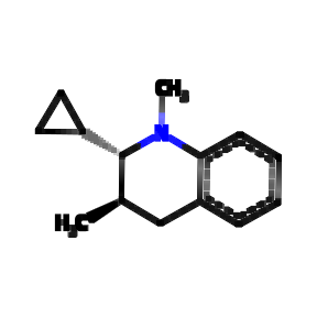 C[C@@H]1Cc2ccccc2N(C)[C@H]1C1CC1